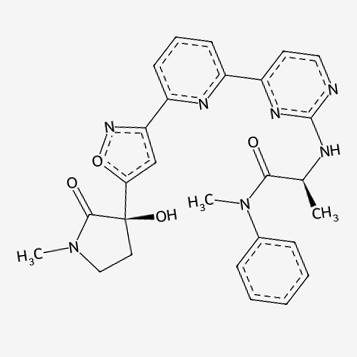 C[C@H](Nc1nccc(-c2cccc(-c3cc([C@]4(O)CCN(C)C4=O)on3)n2)n1)C(=O)N(C)c1ccccc1